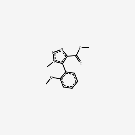 COC(=O)c1nnn(C)c1-c1ccccc1OC